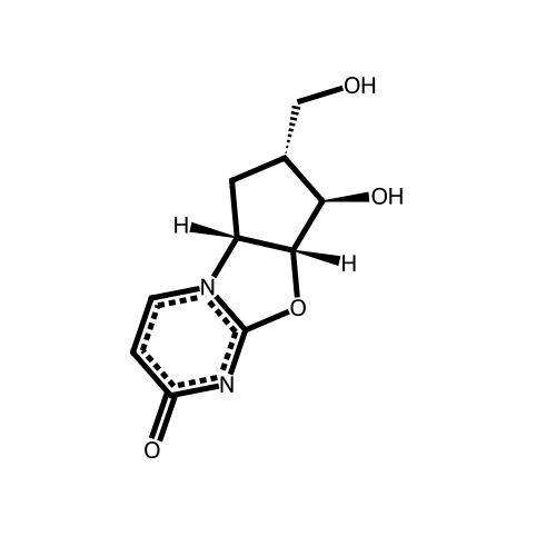 O=c1ccn2c(n1)O[C@H]1[C@H](O)[C@@H](CO)C[C@H]12